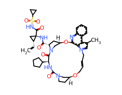 C=C[C@@H]1C[C@]1(NC(=O)[C@@H]1C[C@@H]2CN1C(=O)[C@H](C1CCCC1)NC(=O)N1CC[C@@H](C1)OC/C=C/Cn1cc(C)c3c4ccccc4nc(c31)O2)C(=O)NS(=O)(=O)C1CC1